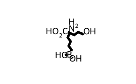 NC(CCCO)(CCCCB(O)O)C(=O)O